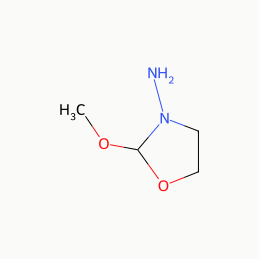 COC1OCCN1N